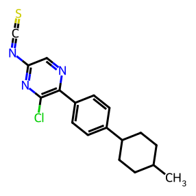 CC1CCC(c2ccc(-c3ncc(N=C=S)nc3Cl)cc2)CC1